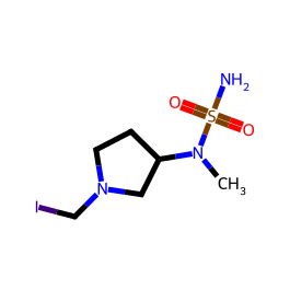 CN(C1CCN(CI)C1)S(N)(=O)=O